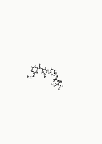 COc1nccc(Nc2cc([C@@H]3CC[C@H](OC(=O)NC4(C)CC4)C3)[nH]n2)n1